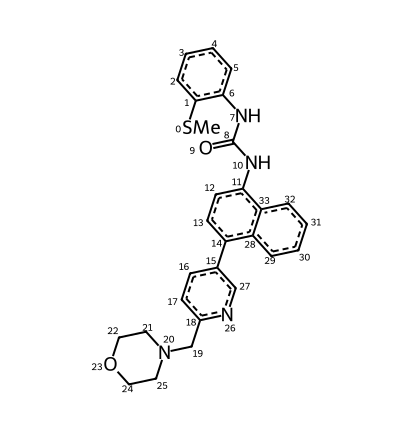 CSc1ccccc1NC(=O)Nc1ccc(-c2ccc(CN3CCOCC3)nc2)c2ccccc12